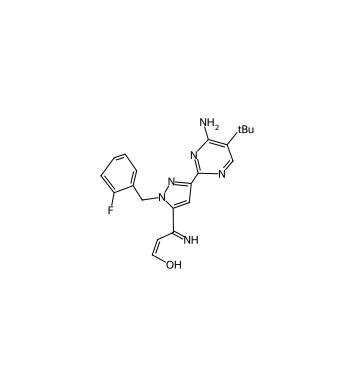 CC(C)(C)c1cnc(-c2cc(C(=N)/C=C\O)n(Cc3ccccc3F)n2)nc1N